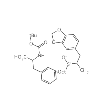 CC(C)(C)OC(=O)NC(Cc1ccccc1)C(=O)O.CCCCCCCC[S+]([O-])C(C)Cc1ccc2c(c1)OCO2